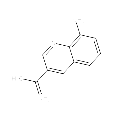 C=C(C)c1cnc2c(C)cccc2c1